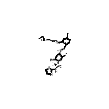 CCNCCCNc1cc(C)ccc1CNc1cc(F)c(S(=O)(=O)Nc2nccs2)cc1F